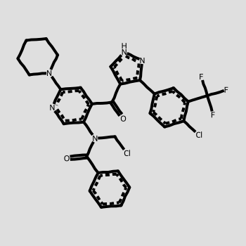 O=C(c1cc(N2CCCCC2)ncc1N(CCl)C(=O)c1ccccc1)c1c[nH]nc1-c1ccc(Cl)c(C(F)(F)F)c1